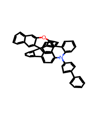 c1ccc(-c2ccc(N(c3ccc4c(c3)C3(c5ccccc5Oc5cc6ccccc6cc53)c3ccccc3-4)c3ccccc3-c3ccccc3)cc2)cc1